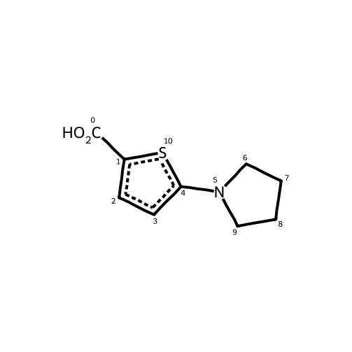 O=C(O)c1ccc(N2CCCC2)s1